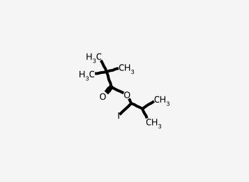 CC(C)C(I)OC(=O)C(C)(C)C